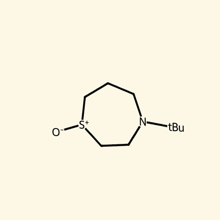 CC(C)(C)N1CCC[S+]([O-])CC1